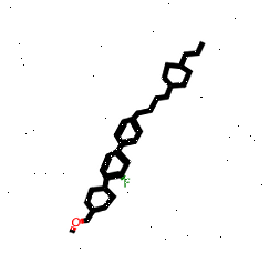 CCCC1CCC(CCCCc2ccc(-c3ccc(C4CCC(COC)CC4)c(F)c3)cc2)CC1